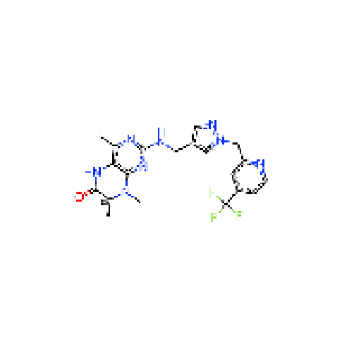 Cc1nc(NCc2cnn(Cc3cc(C(F)(F)F)ccn3)c2)nc2c1NC(=O)[C@H](C)N2C